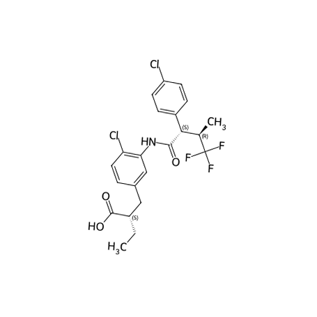 CC[C@@H](Cc1ccc(Cl)c(NC(=O)[C@H](c2ccc(Cl)cc2)[C@@H](C)C(F)(F)F)c1)C(=O)O